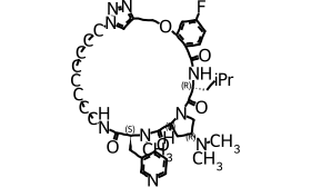 CC(C)C[C@H]1NC(=O)c2ccc(F)cc2OCc2cn(nn2)CCCCCCCCNC(=O)[C@H](Cc2cccnc2)N(C)C(=O)[C@H]2C[C@@H](N(C)C)CN2C1=O